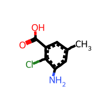 Cc1cc(N)c(Cl)c(C(=O)O)c1